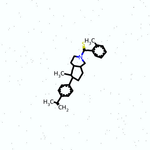 C=C(C)c1ccc(C2CCC3CN(C(=S)c4ccccc4C)CCC3C2C)cc1